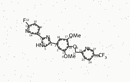 COc1cc(-c2c[nH]c(-c3ccc(F)nc3)n2)cc(OC)c1OCc1ccc(C(F)(F)F)cn1